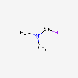 C[N](C)[Sn][I]